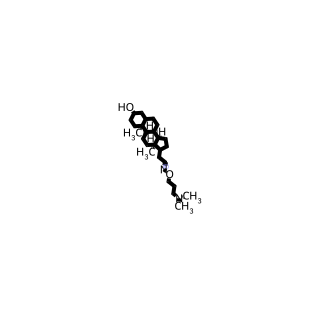 CN(C)CCCO/N=C/CC1CC[C@H]2[C@@H]3CCC4CC(O)CC[C@]4(C)[C@@H]3CC[C@]12C